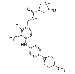 Cc1c(CNC(=O)C2CNC(=O)C2)ccc(Nc2ccc(N3CCC(C)CC3)cc2)c1C